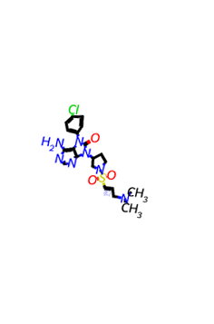 CN(C)C/C=C/S(=O)(=O)N1CCC(n2c(=O)n(-c3ccc(Cl)cc3)c3c(N)ncnc32)C1